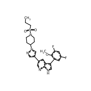 CCCS(=O)(=O)N1CCC(n2cc(-c3cnc4[nH]cc(-c5cc(F)cc(F)c5OC)c4c3)cn2)CC1